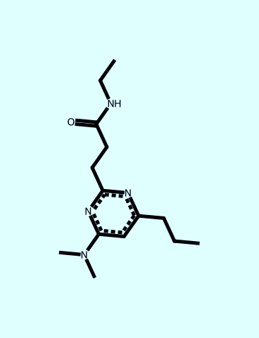 CCCc1cc(N(C)C)nc(CCC(=O)NCC)n1